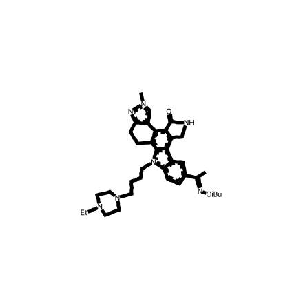 CCN1CCN(CCCCn2c3ccc(/C(C)=N/OCC(C)C)cc3c3c4c(c5c(c32)CCc2nn(C)cc2-5)C(=O)NC4)CC1